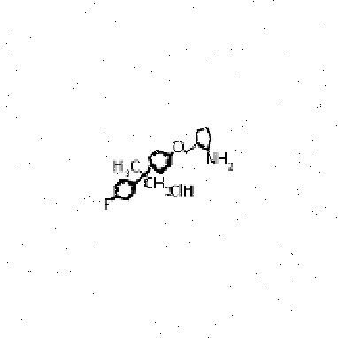 CC(C)(c1ccc(F)cc1)c1ccc(OC[C@H]2CCC[C@H]2N)cc1.Cl